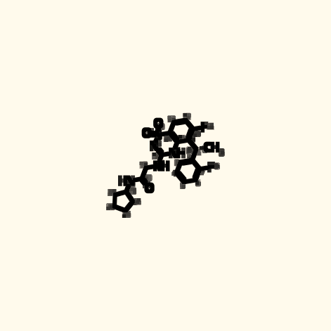 C[C@H](c1ccccc1F)c1c(F)ccc2c1NC(NCC(=O)NC1CCCC1)=NS2(=O)=O